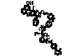 CCc1cccc2cc(O)cc(-c3ncc4c(N5CC6CCC(C5)N6)nc(OCCN5CCC(C)(CN6CCN(c7cc([C@H](C(=O)N8CCC[C@H]8C(=O)N[C@@H](C)c8ccc(-c9scnc9C)cc8)C(C)C)on7)CC6)CC5)nc4c3F)c12